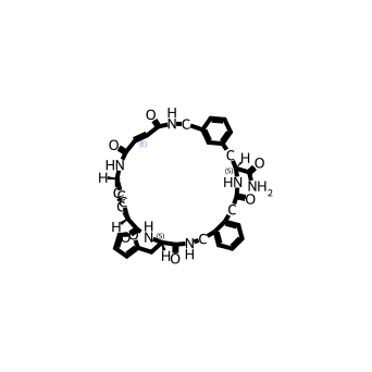 NC(=O)[C@@H]1Cc2cccc(c2)CNC(=O)/C=C/C(=O)N[C@H]2CC[C@H](CC2)C(=O)N[C@@H](Cc2ccco2)C(=O)NCc2ccccc2CC(=O)N1